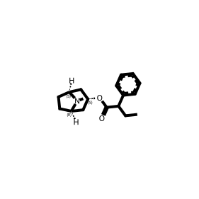 CCC(C(=O)O[C@@H]1C[C@H]2CC[C@@H](C1)N2C)c1ccccc1